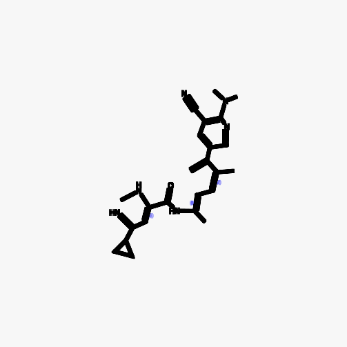 C=C(/C(C)=C\C=C(/C)NC(=O)/C(=C/C(=N)C1CC1)NC)c1cnc(N(C)C)c(C#N)c1